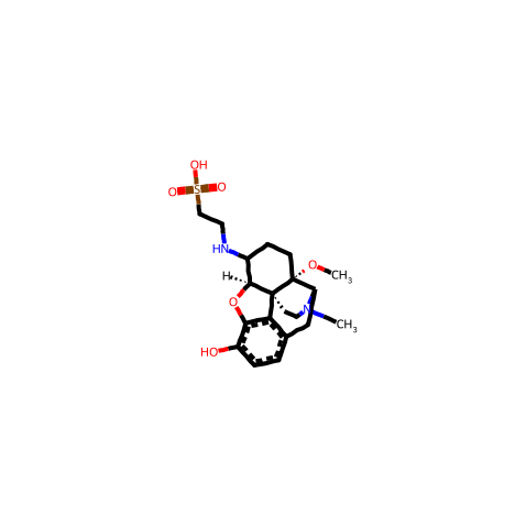 CO[C@@]12CCC(NCCS(=O)(=O)O)[C@@H]3Oc4c(O)ccc5c4[C@@]31CCN(C)C2C5